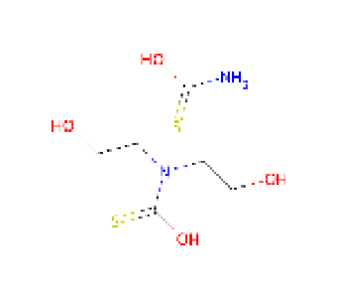 NC(O)=S.OCCN(CCO)C(O)=S